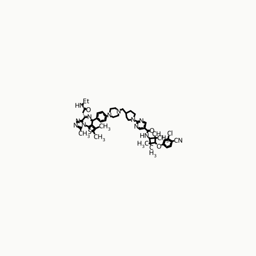 CCNC(=O)C[C@@H]1N=C(c2ccc(N3CCN(CC4CCN(c5ncc(C(=O)NC6C(C)(C)C(Oc7ccc(C#N)c(Cl)c7)C6(C)C)cn5)CC4)CC3)cc2)c2c(sc(C)c2C)-n2c(C)nnc21